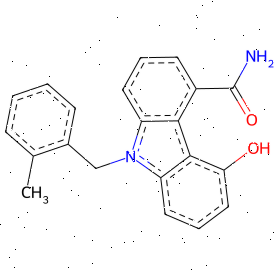 Cc1ccccc1Cn1c2cccc(O)c2c2c(C(N)=O)cccc21